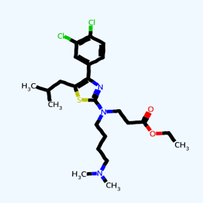 CCOC(=O)CCN(CCCCN(C)C)c1nc(-c2ccc(Cl)c(Cl)c2)c(CC(C)C)s1